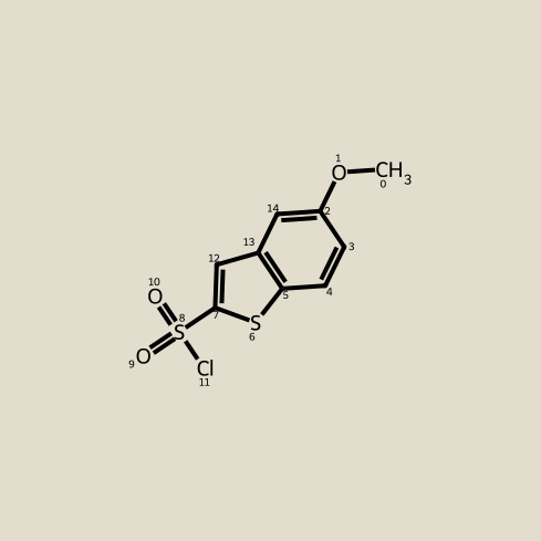 COc1ccc2sc(S(=O)(=O)Cl)cc2c1